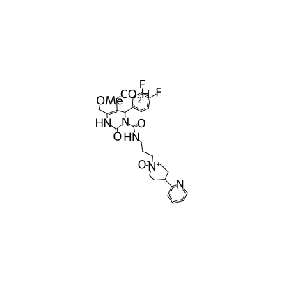 COCC1=C(CC(=O)O)C(c2ccc(F)c(F)c2)N(C(=O)NCCC[N+]2([O-])CCC(c3ccccn3)CC2)C(=O)N1